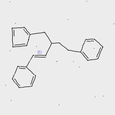 C(=C\C(CCc1ccccc1)Cc1ccccc1)/c1ccccc1